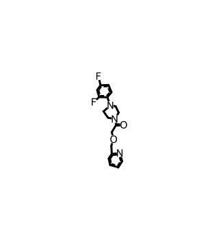 O=C(COCc1ccccn1)N1CCN(c2ccc(F)cc2F)CC1